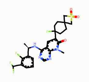 C[C@@H](Nc1ncnc2c1cc(C1(F)CCC3(CC1)CS(=O)(=O)C3)c(=O)n2C)c1cccc(C(F)F)c1F